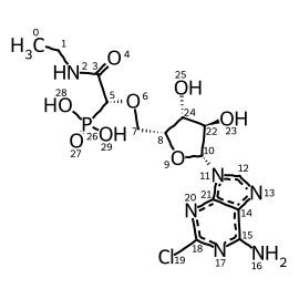 CCNC(=O)[C@H](OC[C@H]1O[C@@H](n2cnc3c(N)nc(Cl)nc32)[C@H](O)[C@H]1O)P(=O)(O)O